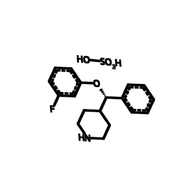 Fc1cccc(O[C@H](c2ccccc2)C2CCNCC2)c1.O=S(=O)(O)O